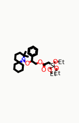 CCO[Si](CC(=O)OCC(ON1C(C)(C)CCCC12CCCCC2)c1ccccc1)(OCC)OCC